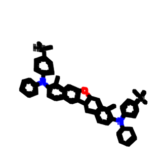 Cc1c(N(c2ccc([Si](C)(C)C)cc2)C2C=CC=CC2)ccc2c1=CC1Oc3cc4c(C)c(N(c5ccccc5)c5ccc([SiH](C)C)cc5)ccc4cc3C1C=2